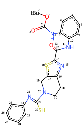 CC(C)(C)OC(=O)Nc1ccccc1NC(=O)c1nc2c(s1)CN(C(S)=Nc1ccccc1)CC2